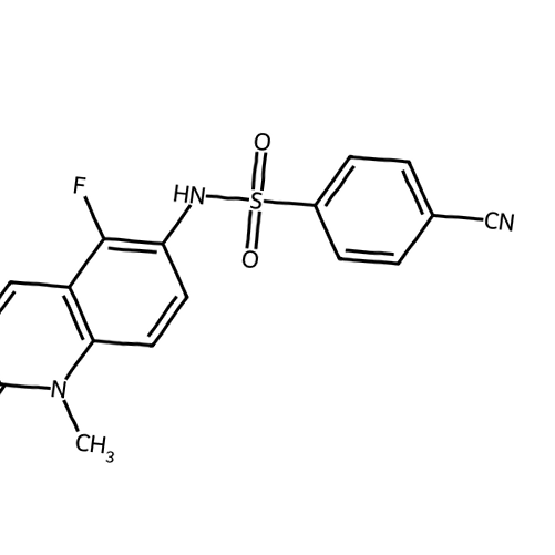 Cn1c(=O)ccc2c(F)c(NS(=O)(=O)c3ccc(C#N)cc3)ccc21